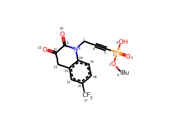 CCC(C)OP(=O)(O)C#CCN1C(=O)C(=O)Cc2cc(C(F)(F)F)ccc21